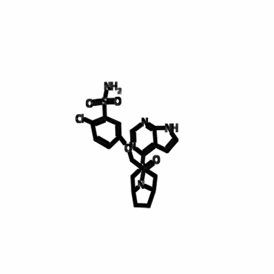 NS(=O)(=O)c1cc(OCC(=O)N2C3CCC2CN(c2ncnc4[nH]ccc24)C3)ccc1Cl